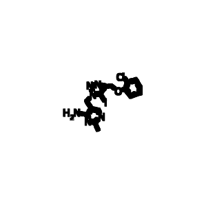 Cc1ncc(Cn2nnc(COc3ccccc3Cl)c2I)c(N)n1